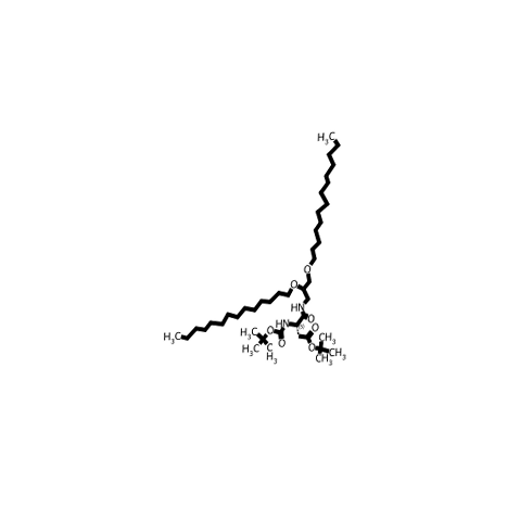 CCCCCCCCCCCCCCOCC(CNC(=O)[C@H](CC(=O)OC(C)(C)C)NC(=O)OC(C)(C)C)OCCCCCCCCCCCCCC